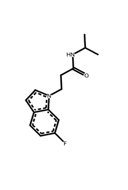 CC(C)NC(=O)CCn1ccc2ccc(F)cc21